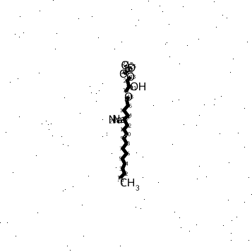 CCCCCCCCCCCCCCCCCCOCC(O)COP(=O)([O-])[O-].[Na+].[Na+]